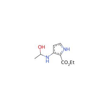 CCOC(=O)c1[nH]ccc1NC(C)O